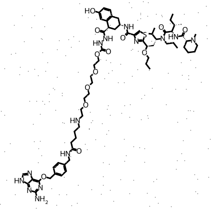 CCCO[C@H](C[C@H](C(C)C)N(CCC)C(=O)[C@@H](NC(=O)[C@H]1CCCCN1C)[C@@H](C)CC)c1nc(C(=O)N[C@H]2Cc3ccc(O)cc3[C@H](C(=O)NNC(=O)OCCOCCOCCOCCNCCCCC(=O)NCc3ccc(COc4nc(N)nc5[nH]cnc45)cc3)C2)cs1